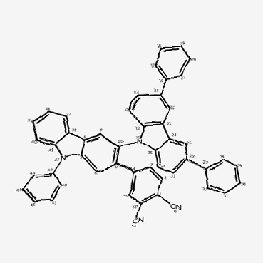 N#Cc1ccc(-c2cc3c(cc2-n2c4ccc(-c5ccccc5)cc4c4cc(-c5ccccc5)ccc42)c2ccccc2n3-c2ccccc2)cc1C#N